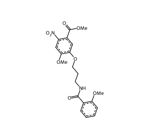 COC(=O)c1cc(OCCCNC(=O)c2ccccc2OC)c(OC)cc1[N+](=O)[O-]